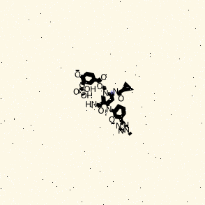 CNC(=O)c1cn(COC(=O)c2ccc(OC)c(OP(=O)(O)O)c2)/c(=N/C(=O)C2CC2)cc1N(I)c1cccc(-c2nnn(C)n2)c1OC